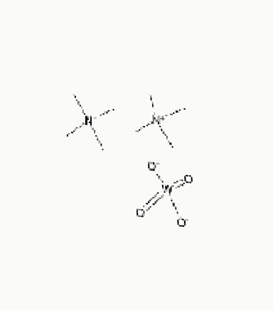 C[N+](C)(C)C.C[N+](C)(C)C.[O]=[W](=[O])([O-])[O-]